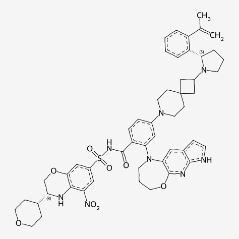 C=C(C)c1ccccc1[C@@H]1CCCN1C1CC2(CCN(c3ccc(C(=O)NS(=O)(=O)c4cc5c(c([N+](=O)[O-])c4)N[C@H](C4CCOCC4)CO5)c(N4CCCOc5nc6[nH]ccc6cc54)c3)CC2)C1